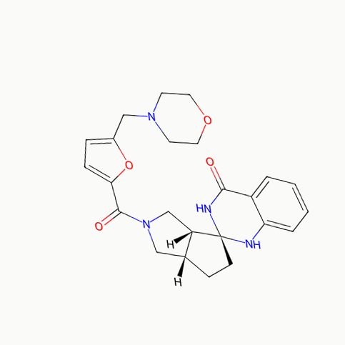 O=C1N[C@]2(CC[C@@H]3CN(C(=O)c4ccc(CN5CCOCC5)o4)C[C@@H]32)Nc2ccccc21